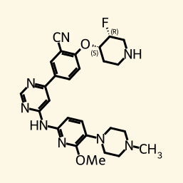 COc1nc(Nc2cc(-c3ccc(O[C@H]4CCNC[C@H]4F)c(C#N)c3)ncn2)ccc1N1CCN(C)CC1